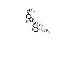 Cc1c(OCC(F)(F)F)ccnc1C[S@+]([O-])c1nc2cc(OC(F)(F)F)ccc2[nH]1